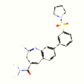 CCCN(CCC)C(=O)C1=Cc2ccc(-c3cccc(S(=O)(=O)N4CCCC4)c3)cc2N=C(N)C1